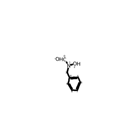 O=[C]N(O)Cc1ccccc1